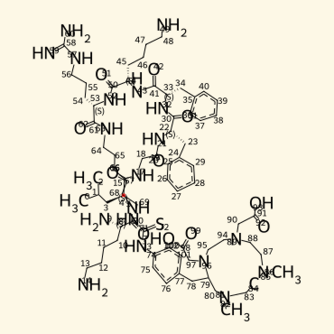 CC(C)C[C@H](NC(=O)[C@@H](N)CCCCN)C(=O)NCC(=O)N[C@@H](Cc1ccccc1)C(=O)N[C@@H](Cc1ccccc1)C(=O)N[C@@H](CCCCN)C(=O)N[C@@H](CCCNC(=N)N)C(=O)NCCCCCCNC(=S)Nc1ccc(CC2CN(C)CCN(C)CCN(CC(=O)O)CCN2CC(=O)O)cc1